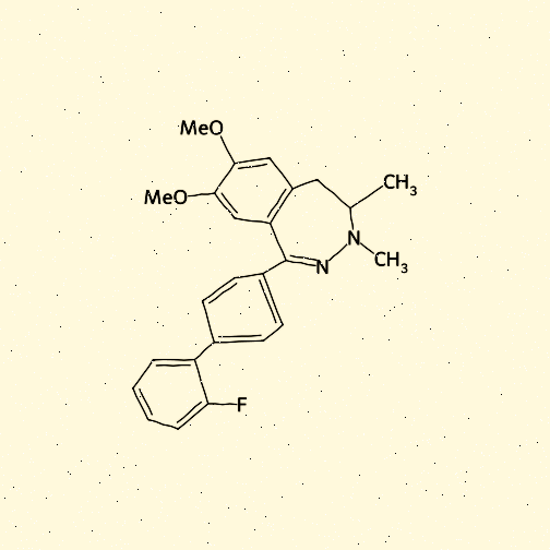 COc1cc2c(cc1OC)C(c1ccc(-c3ccccc3F)cc1)=NN(C)C(C)C2